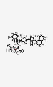 O=C1OCC/C1=C\[C@H](C[C@@H]1CCNC1=O)NC(=O)[C@H](CC(=O)c1ccc(-c2cccc3ccccc23)[nH]1)Cc1ccc(F)cc1